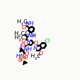 CNC(=O)c1cccc(NC(C(=O)N2C[C@H](Oc3ncc(OC)c4ccc(Cl)cc34)C[C@H]2C(=O)N[C@]2(C(=O)NS(=O)(=O)C3CC3)C[C@H]2I)C(C)(C)C)c1